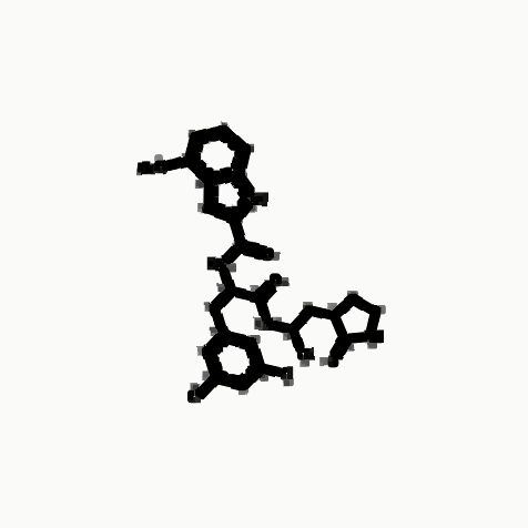 COc1cccc2[nH]c(C(=O)NC(Cc3cc(Cl)cc(Cl)c3)C(=O)NC(C#N)CC3CCNC3=O)cc12